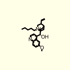 C=CC1C[N+]2(CCCCC)CCC1CC2[C@H](O)c1ccnc2ccc(OC)cc12